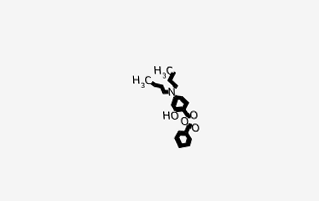 CCCCN(CCCC)c1ccc(C(=O)OC(=O)c2ccccc2)c(O)c1